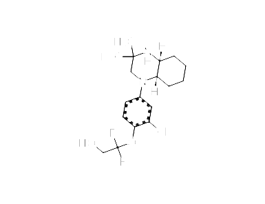 CC1(C)CN(c2ccc(OC(F)(F)CO)c(Cl)c2)[C@H]2CCCC[C@H]2N1